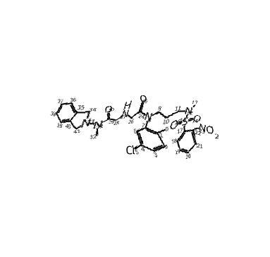 Cc1ccc(Cl)cc1N(CCCN(C)S(=O)(=O)c1ccccc1[N+](=O)[O-])C(=O)CNCC(=O)N(C)N1Cc2ccccc2C1